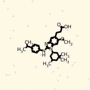 COc1cc2c(cc1CCC(=O)O)nc(Nc1ccc(C(C)C)cc1)n2C1CC(C)CC(C)(C)C1